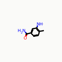 Cc1ccc(C(N)=O)cc1[NH]